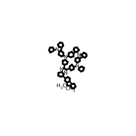 CC1(C)c2ccccc2-c2ccc(-c3cccc4nc(-c5ccc(N(c6ccccc6)c6ccc7c(c6)c6ccccc6n7-c6ccccc6)cc5)c(-c5ccc(N(c6ccccc6)c6ccc7c(c6)c6ccccc6n7-c6ccccc6)cc5)nc34)cc21